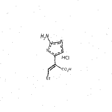 CC/C=C(\C(=O)O)c1cnn(N)n1.Cl